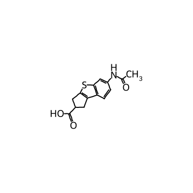 CC(=O)Nc1ccc2c3c(sc2c1)CC(C(=O)O)C3